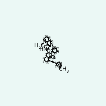 C=C(N[C@H](C)c1cc2cccc(C#Cc3cnn(C)c3)c2c(=O)n1-c1ccccc1)c1cncc2cccnc12